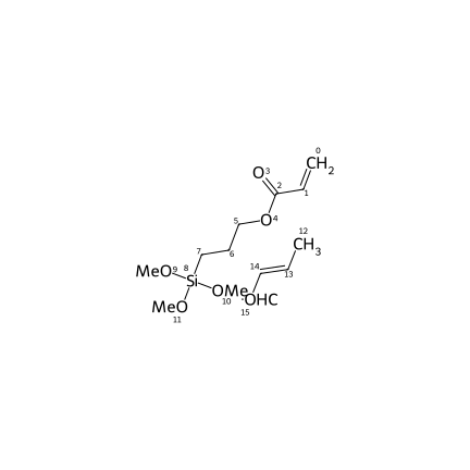 C=CC(=O)OCCC[Si](OC)(OC)OC.CC=C[C]=O